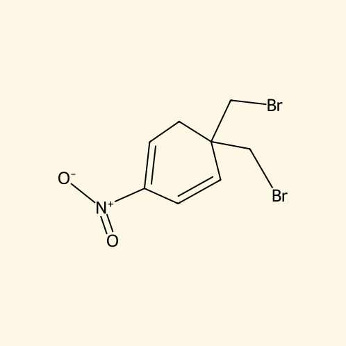 O=[N+]([O-])C1=CCC(CBr)(CBr)C=C1